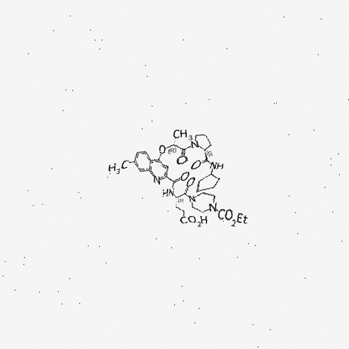 CCOC(=O)N1CCN(C(=O)[C@H](CCC(=O)O)NC(=O)c2cc(O[C@H](C)C(=O)N3CCC[C@H]3C(=O)NC3CCCC3)c3ccc(C)cc3n2)CC1